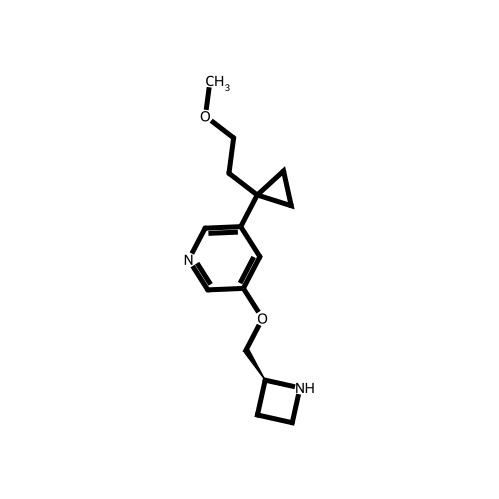 COCCC1(c2cncc(OC[C@@H]3CCN3)c2)CC1